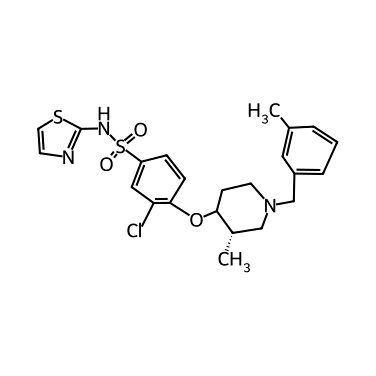 Cc1cccc(CN2CCC(Oc3ccc(S(=O)(=O)Nc4nccs4)cc3Cl)[C@@H](C)C2)c1